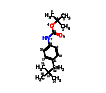 CC(C)(C)OC(=O)Nc1cc[c]([SnH2][C](C)(C)C)cc1